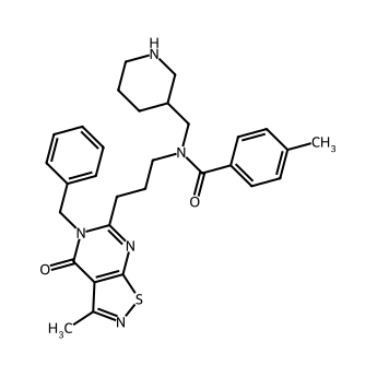 Cc1ccc(C(=O)N(CCCc2nc3snc(C)c3c(=O)n2Cc2ccccc2)CC2CCCNC2)cc1